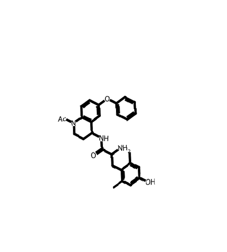 CC(=O)N1CCC(NC(=O)C(N)Cc2c(C)cc(O)cc2C)c2cc(Oc3ccccc3)ccc21